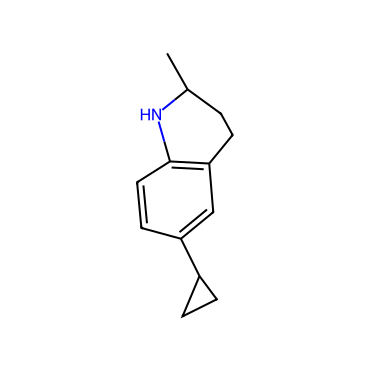 CC1CCc2cc(C3CC3)ccc2N1